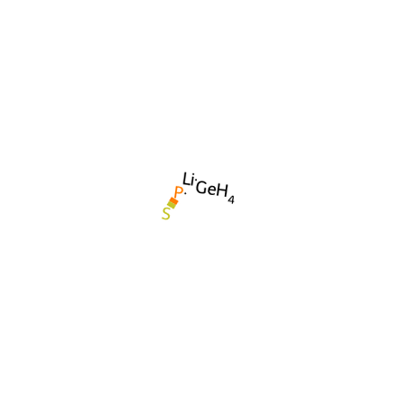 [GeH4].[Li].[P]=S